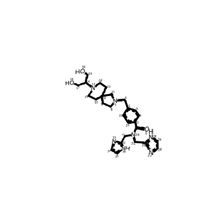 O=C(c1ccc(CN2CCC3(CCN(C(CO)CO)CC3)C2)cc1)N(Cc1ncc[nH]1)Cc1ncc[nH]1